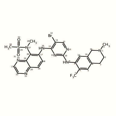 CN1CCc2cc(C(F)(F)F)c(Nc3ncc(Br)c(Nc4ccc5nccnc5c4N(C)S(C)(=O)=O)n3)cc2C1